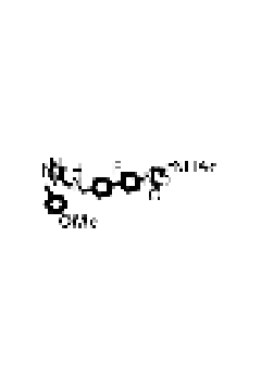 COc1ccc(Cn2nncc2CNCc2ccc(-c3ccc(N4C[C@H](CNC(C)=O)OC4=O)cc3F)cc2)cc1